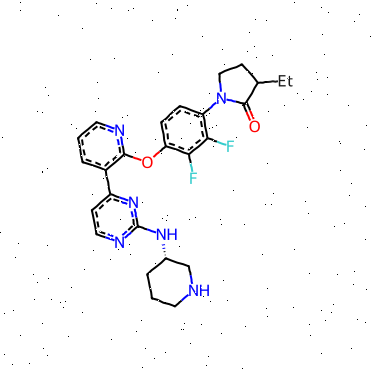 CCC1CCN(c2ccc(Oc3ncccc3-c3ccnc(N[C@H]4CCCNC4)n3)c(F)c2F)C1=O